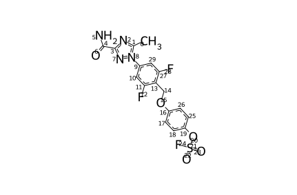 Cc1nc(C(N)=O)nn1-c1cc(F)c(COc2ccc(OS(=O)(=O)F)cc2)c(F)c1